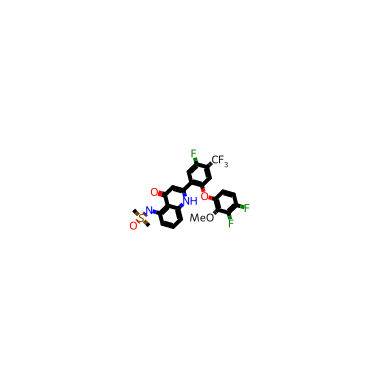 COc1c(Oc2cc(C(F)(F)F)c(F)cc2-c2cc(=O)c3c(N=S(C)(C)=O)cccc3[nH]2)ccc(F)c1F